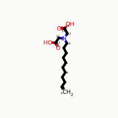 C=CCCCCCCCCCN(CC(=O)O)CC(=O)O